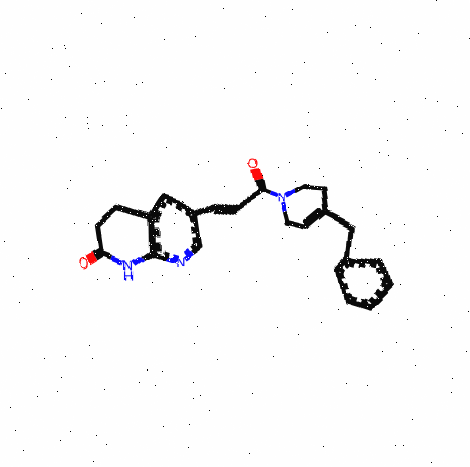 O=C1CCc2cc(C=CC(=O)N3CC=C(Cc4ccccc4)CC3)cnc2N1